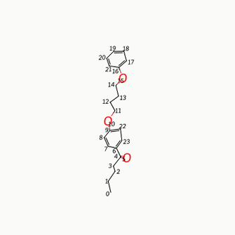 CCCCC(=O)c1ccc(OCCCCOc2ccccc2)cc1